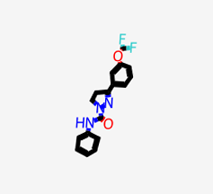 O=C(Nc1ccccc1)N1CCC(c2cccc(OC(F)F)c2)=N1